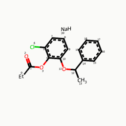 CCC(=O)Oc1c(Cl)cccc1OC(C)c1ccccc1.[NaH]